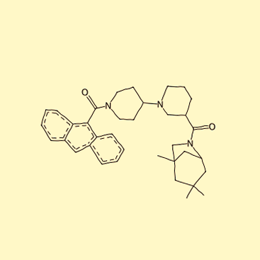 CC1(C)CC2CC(C)(CN2C(=O)C2CCCN(C3CCN(C(=O)c4c5ccccc5cc5ccccc45)CC3)C2)C1